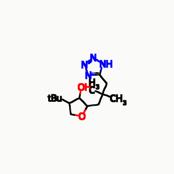 CC(C)(Cc1nnn[nH]1)CC1OCC(C(C)(C)C)C1O